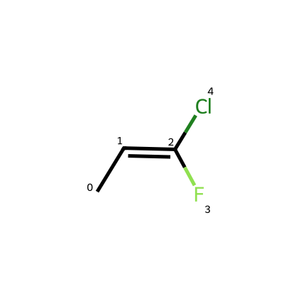 C/C=C(\F)Cl